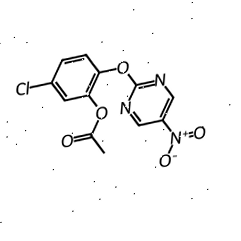 CC(=O)Oc1cc(Cl)ccc1Oc1ncc([N+](=O)[O-])cn1